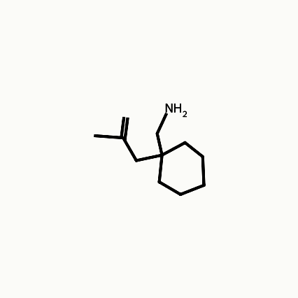 C=C(C)CC1(CN)CCCCC1